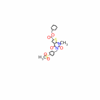 Cn1c(=O)n(Cc2ccc(S(C)(=O)=O)cc2)c(=O)c2cc(C(=O)OCc3ccccc3)sc21